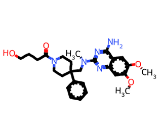 COc1cc2nc(N(C)CC3(c4ccccc4)CCN(C(=O)CCCO)CC3)nc(N)c2cc1OC